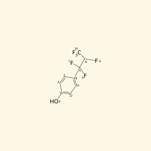 Oc1ccc(C(F)(F)C(F)C(F)(F)F)cc1